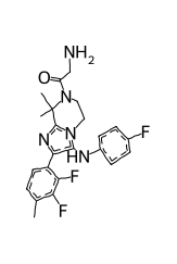 Cc1ccc(-c2nc3n(c2Nc2ccc(F)cc2)CCN(C(=O)CN)C3(C)C)c(F)c1F